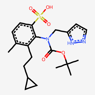 Cc1ccc(S(=O)(=O)O)c(N(Cc2ccn[nH]2)C(=O)OC(C)(C)C)c1CCC1CC1